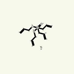 C=CC[O][Ti](=[O])([CH2]C=C)([CH2]C=C)[O]CC=C.[Ti]